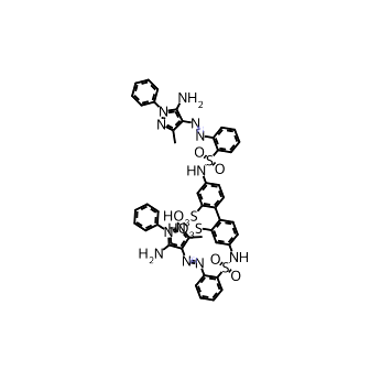 Cc1nn(-c2ccccc2)c(N)c1/N=N/c1ccccc1S(=O)(=O)Nc1ccc(-c2ccc(NS(=O)(=O)c3ccccc3/N=N/c3c(C)nn(-c4ccccc4)c3N)cc2S(=O)(=O)O)c(S(=O)(=O)O)c1